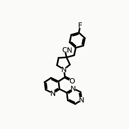 N#CC1(Cc2ccc(F)cc2)CCN(C(=O)c2cccnc2-c2ccncn2)C1